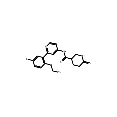 CCOc1ccc(F)cc1-c1cc(NC(=O)C2CCC(=O)NC2)ncn1